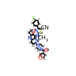 CN(c1nc(-c2ccc(F)cc2)c(C#N)s1)c1c2c(nc3ccc(N4CCN(C(=O)[C@H]5CCOC5)CC4)nc13)CCO2